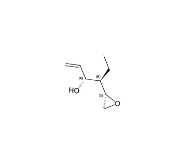 C=C[C@@H](O)[C@@H](CC)[C@H]1CO1